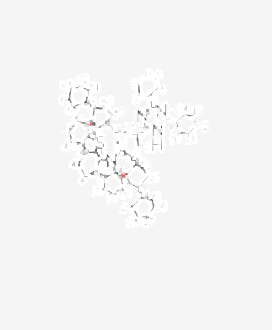 C/C=C\C(=C/C)C1=NC(c2ccccc2)NC(C2=CC(c3ccc(-c4ccccc4)cc3)=C(n3c4ccccc4c4ccc5c6ccccc6sc5c43)C3C2C3c2ccc(-c3ccccc3)cc2)=N1